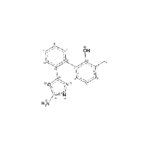 Cc1cccc(-c2ccccc2-c2nnc(N)o2)c1O